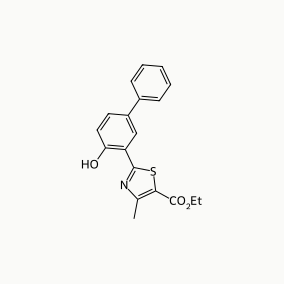 CCOC(=O)c1sc(-c2cc(-c3ccccc3)ccc2O)nc1C